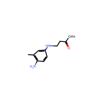 COC(=O)CCNc1ccc(N)c(C)c1